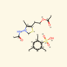 CC(=O)NN1CSC(CCOC(C)=O)=C1C.Cc1cc(C)c(S(=O)(=O)O)c(C)c1